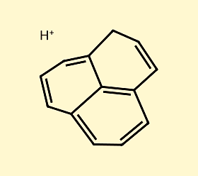 C1=Cc2cccc3cccc(c23)C1.[H+]